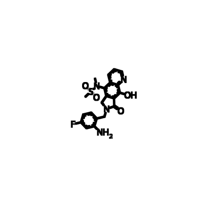 CN(c1c2c(c(O)c3ncccc13)C(=O)N(Cc1ccc(F)cc1N)C2)S(C)(=O)=O